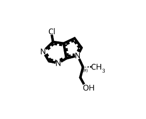 C[C@H](CO)n1ccc2c(Cl)ncnc21